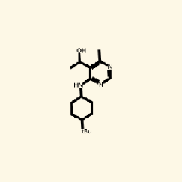 Cc1ncnc(NC2CCC(C(C)(C)C)CC2)c1C(C)O